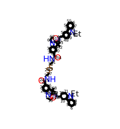 CCn1c2c(c3ccccc31)CC(/C=C/C13OCCN1c1ccc(C(=O)NCCSSCCNC(=O)c4ccc5c(c4)C(C)(C)C4(/C=C/c6ccc7c(c6)c6ccccc6n7CC)OCCN54)cc1C3(C)C)C=C2